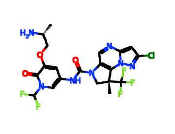 C[C@@H](N)COc1cc(NC(=O)N2C[C@@](C)(C(F)(F)F)c3c2cnc2cc(Cl)nn32)cn(C(F)F)c1=O